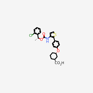 C[C@@H](OC(=O)Nc1ccsc1-c1ccc(O[C@H]2CCC[C@H](C(=O)O)C2)cc1)c1ccccc1Cl